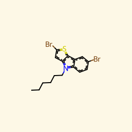 CCCCCCn1c2ccc(Br)cc2c2sc(Br)cc21